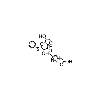 O=C(O)Cn1cc(COC2C(O)[C@H](Sc3ccccc3)OC3C(O)CO[C@@H]32)nn1